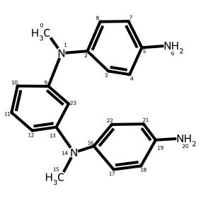 CN(c1ccc(N)cc1)c1cccc(N(C)c2ccc(N)cc2)c1